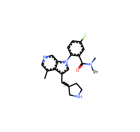 Cc1cncc2c1c(/C=C1\CCNC1)cn2-c1ccc(F)cc1C(=O)N(C)C(C)C